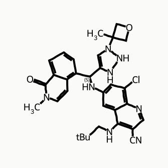 Cn1ccc2c([C@H](Nc3cc(Cl)c4ncc(C#N)c(NCC(C)(C)C)c4c3)C3=CN(C4(C)COC4)NN3)cccc2c1=O